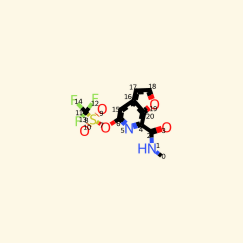 CNC(=O)c1nc(OS(=O)(=O)C(F)(F)F)cc2ccoc12